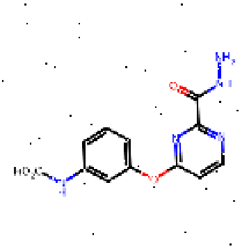 NNC(=O)c1nccc(Oc2cccc(NC(=O)O)c2)n1